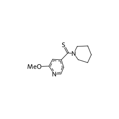 COc1cc(C(=S)N2CCCCC2)ccn1